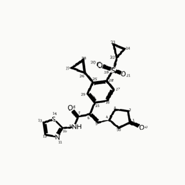 O=C1CC[C@H](/C=C(/C(=O)Nc2nccs2)c2ccc(S(=O)(=O)C3CC3)c(C3CC3)c2)C1